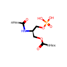 CCCCCCC(=O)N[C@H](COC(=O)CCCCCC)COP(=O)(O)O